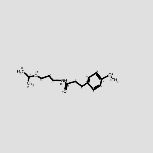 COc1ccc(CCC(=O)NCCCOC(C)C)cc1